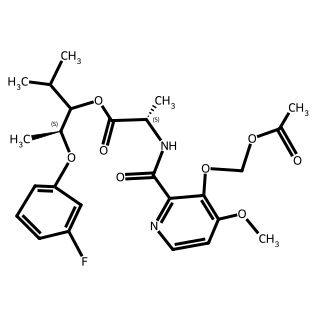 COc1ccnc(C(=O)N[C@@H](C)C(=O)OC(C(C)C)[C@H](C)Oc2cccc(F)c2)c1OCOC(C)=O